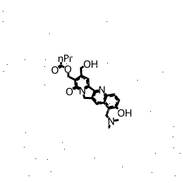 CCCC(=O)OCc1c(CO)cc2n(c1=O)Cc1cc3c(CN(C)C)c(O)ccc3nc1-2